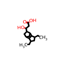 CCC1CC(CC)C2C3CC(CC3C(O)CC(=O)O)C12